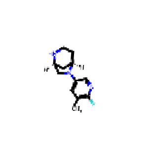 Cc1cc(N2C[C@@H]3C[C@H]2CCN3)cnc1F